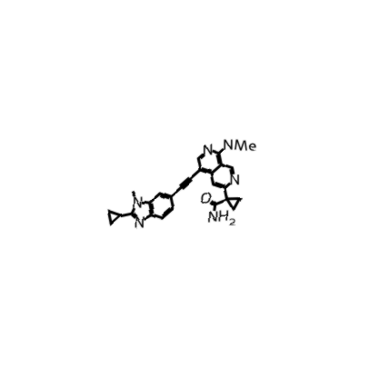 CNc1ncc(C#Cc2ccc3nc(C4CC4)n(C)c3c2)c2cc(C3(C(N)=O)CC3)ncc12